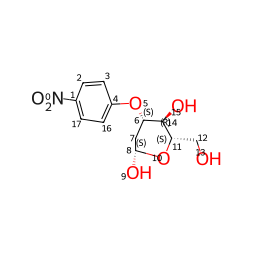 O=[N+]([O-])c1ccc(O[C@H]2C[C@@H](O)O[C@@H](CO)[C@@H]2O)cc1